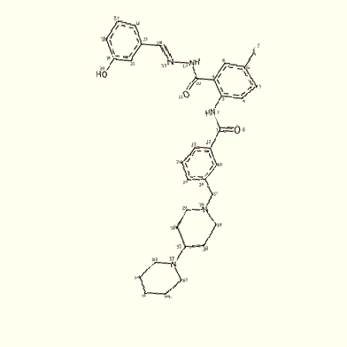 O=C(Nc1ccc(I)cc1C(=O)NN=Cc1cccc(O)c1)c1cccc(CN2CCC(N3CCCCC3)CC2)c1